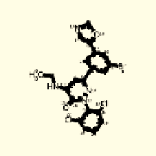 CCNc1cc(-c2cc(Br)cc(-c3cnco3)c2)nn(-c2c(Cl)cccc2Cl)c1=O